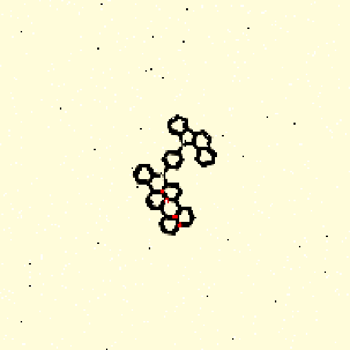 c1c(-c2ccccc2)ccc(-c2ccccc2N(c2ccc(-c3ccccc3)cc2)c2ccc(-n3c4ccccc4c4ccc5ccccc5c43)cc2)c#1